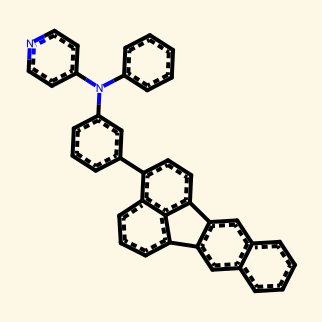 c1ccc(N(c2ccncc2)c2cccc(-c3ccc4c5c(cccc35)-c3cc5ccccc5cc3-4)c2)cc1